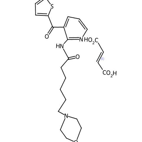 O=C(CCCCCN1CCOCC1)Nc1ncccc1C(=O)c1cccs1.O=C(O)/C=C/C(=O)O